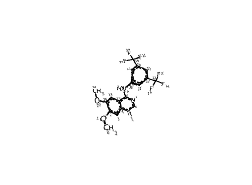 COc1cc2ncnc(Nc3cc(C(F)(F)F)cc(C(F)(F)F)c3)c2cc1OC